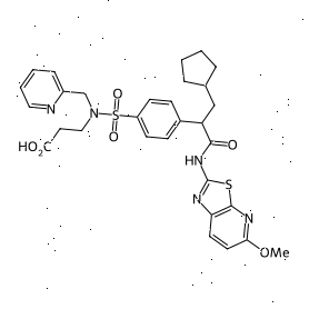 COc1ccc2nc(NC(=O)C(CC3CCCC3)c3ccc(S(=O)(=O)N(CCC(=O)O)Cc4ccccn4)cc3)sc2n1